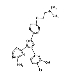 CN(C)CCOc1ccc(-c2cc(-c3ccc(Cl)c(O)c3)c(-c3ccnc(N)n3)o2)cc1